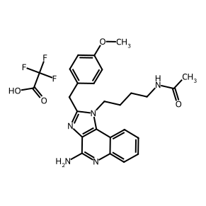 COc1ccc(Cc2nc3c(N)nc4ccccc4c3n2CCCCNC(C)=O)cc1.O=C(O)C(F)(F)F